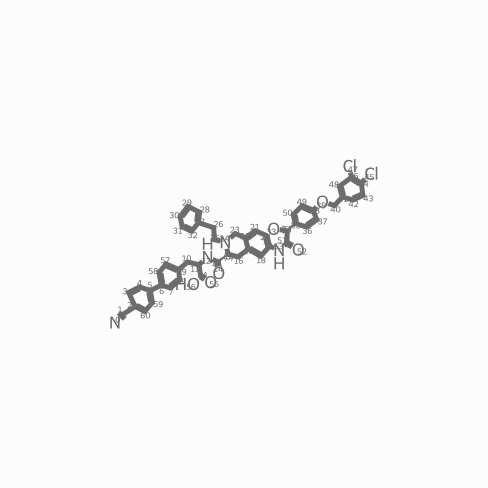 N#Cc1ccc(-c2ccc(CC(NC(=O)[C@@H]3Cc4cc5c(cc4CN3CCc3ccccc3)O[C@@H](c3ccc(OCc4ccc(Cl)c(Cl)c4)cc3)C(=O)N5)C(=O)O)cc2)cc1